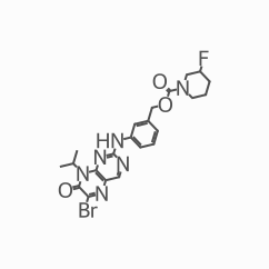 CC(C)n1c(=O)c(Br)nc2cnc(Nc3cccc(COC(=O)N4CCCC(F)C4)c3)nc21